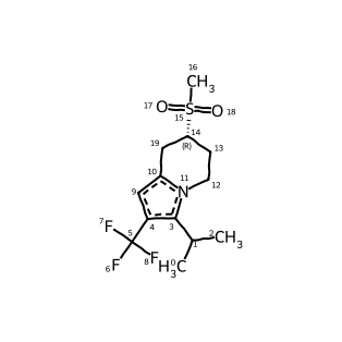 CC(C)c1c(C(F)(F)F)cc2n1CC[C@@H](S(C)(=O)=O)C2